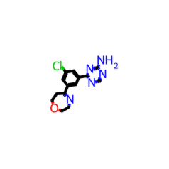 Nc1ncnc(-c2cc(Cl)cc(C3=NCCOCC3)c2)n1